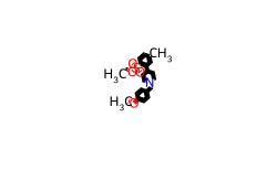 CCOS(=O)(=O)c1ccc(C)cc1C1CCN(Cc2ccc(OC)cc2)CC1